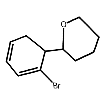 BrC1=CC=CCC1C1CCCCO1